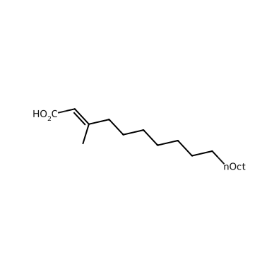 CCCCCCCCCCCCCCC/C(C)=C/C(=O)O